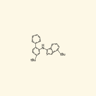 CC(C)(C)c1ccc(-c2ccccc2)c(Nc2scc3c(C(C)(C)C)cccc23)c1